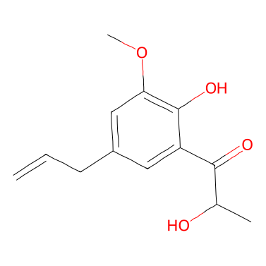 C=CCc1cc(OC)c(O)c(C(=O)C(C)O)c1